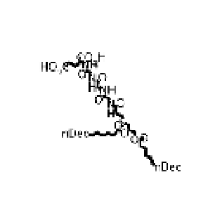 CCCCCCCCCCCCCCCC(=O)OCC(CSCCC(=O)NCC(=O)NCC(=O)NCC(=O)N[C@@H](CCC(=O)O)C(=O)O)OC(=O)CCCCCCCCCCCCCCC